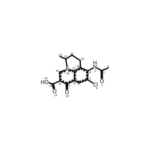 CC(=O)Nc1c(Cl)cc2c(=O)c(C(=O)O)cn3c2c1CCC3C